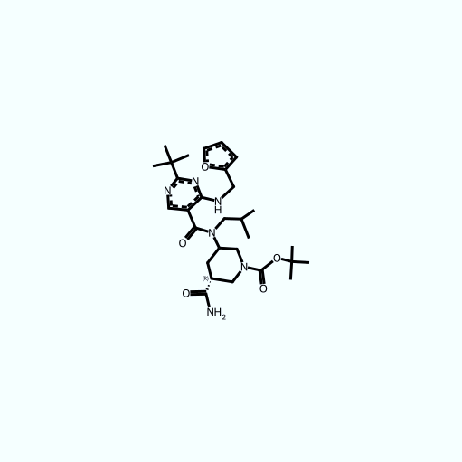 CC(C)CN(C(=O)c1cnc(C(C)(C)C)nc1NCc1ccco1)C1C[C@@H](C(N)=O)CN(C(=O)OC(C)(C)C)C1